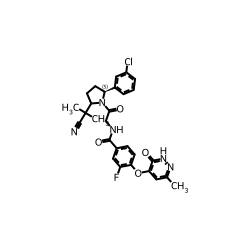 Cc1cc(Oc2ccc(C(=O)NCC(=O)N3C(C(C)(C)C#N)CC[C@H]3c3cccc(Cl)c3)cc2F)c(=O)[nH]n1